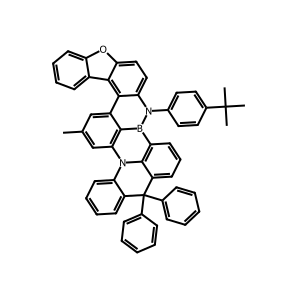 Cc1cc2c3c(c1)N1c4ccccc4C(c4ccccc4)(c4ccccc4)c4cccc(c41)B3N(c1ccc(C(C)(C)C)cc1)c1ccc3oc4ccccc4c3c1-2